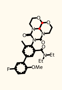 CCN(CC)C(=O)c1cc(-c2cc(F)ccc2OC)cc(C)c1N(C(=O)N1CCOCC1)C(=O)N1CCOCC1